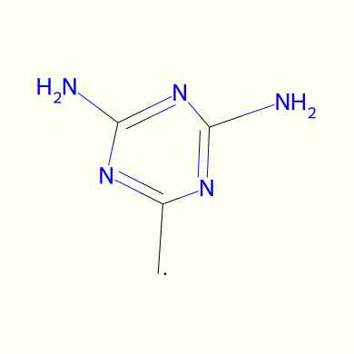 [CH2]c1nc(N)nc(N)n1